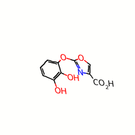 O=C(O)c1coc(Oc2cccc(O)c2O)n1